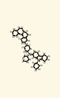 c1ccc(N(c2ccc(-c3ccc4c(ccc5ccc6ccccc6c54)c3)cc2)c2ccc3c4ccccc4n(-c4ccccc4)c3c2)cc1